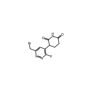 O=C1CCC(c2cc(CBr)nnc2F)C(=O)N1